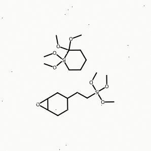 COC1(OC)CCCC[Si]1(OC)OC.CO[Si](CCC1CCC2OC2C1)(OC)OC